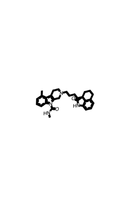 CNC(=O)n1c2c(c3c(C)cccc31)CCN(CCCCC13CCCc4cccc(c41)NC3=O)C2